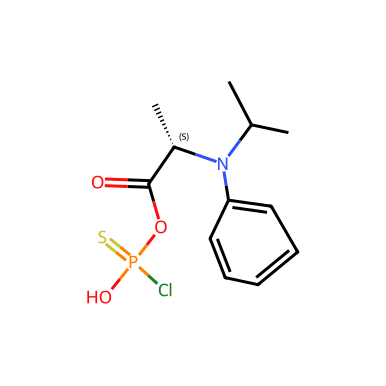 CC(C)N(c1ccccc1)[C@@H](C)C(=O)OP(O)(=S)Cl